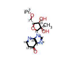 CC(C)OC[C@H]1O[C@@H](n2cnc3c2N=CCC3=O)[C@](C)(O)[C@@H]1O